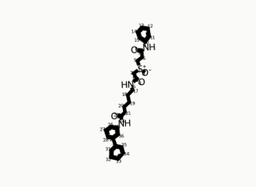 O=C(C[S+]([O-])CCC(=O)Nc1ccccc1)NCCCCCC(=O)Nc1cccc(-c2ccccc2)c1